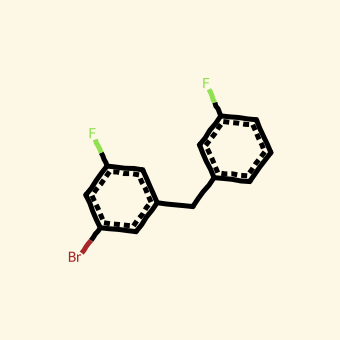 Fc1cccc(Cc2cc(F)cc(Br)c2)c1